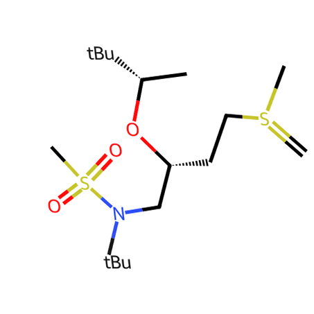 C=S(C)CC[C@H](CN(C(C)(C)C)S(C)(=O)=O)O[C@@H](C)C(C)(C)C